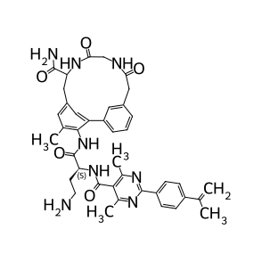 C=C(C)c1ccc(-c2nc(C)c(C(=O)N[C@@H](CCN)C(=O)Nc3c(C)cc4cc3-c3cccc(c3)CC(=O)NCC(=O)NC(C(N)=O)C4)c(C)n2)cc1